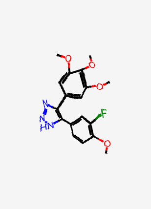 COc1ccc(-c2[nH]nnc2-c2cc(OC)c(OC)c(OC)c2)cc1F